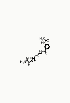 CC(=O)Nc1cccc(C(=O)NCCSCc2csc(NC(=N)N)n2)c1